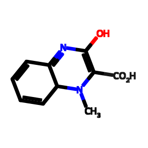 CN1C(C(=O)O)=C(O)N=C2C=CC=CC21